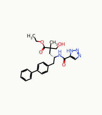 CCOC(=O)C(C)(CO)C[C@@H](Cc1ccc(-c2ccccc2)cc1)NC(=O)c1cnn[nH]1